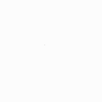 CCCC[Si](Cl)(C1CCCCC1)C1CCCCC1